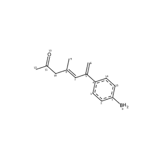 Bc1ccc(C(=C)/C=C(\C)CC(C)=O)cc1